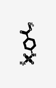 COC(=O)[C@H]1CC[C@H](NS(C)(=O)=O)CC1